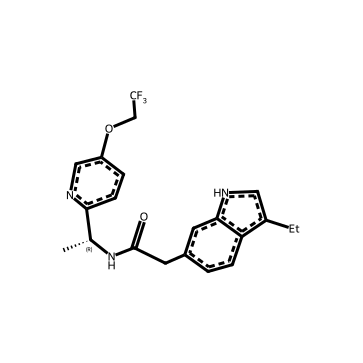 CCc1c[nH]c2cc(CC(=O)N[C@H](C)c3ccc(OCC(F)(F)F)cn3)ccc12